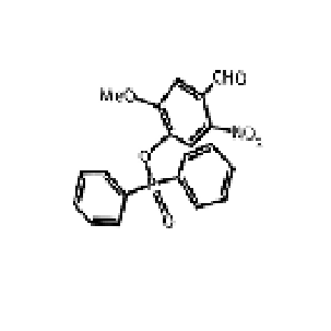 COc1cc(C=O)c([N+](=O)[O-])cc1OP(=O)(c1ccccc1)c1ccccc1